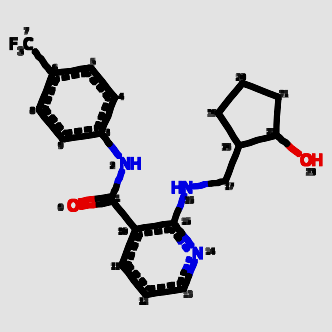 O=C(Nc1ccc(C(F)(F)F)cc1)c1cccnc1NCC1CCCC1O